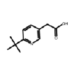 CC(C)(C)c1ccc(CC(=O)O)cn1